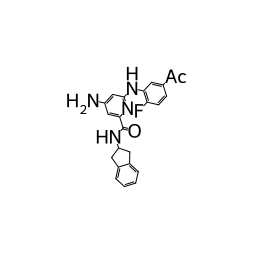 CC(=O)c1ccc(F)c(Nc2cc(N)cc(C(=O)NC3Cc4ccccc4C3)n2)c1